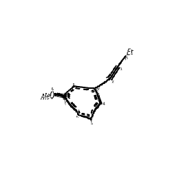 [CH2]CC#Cc1cccc(OC)c1